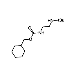 CC(C)(C)NCCNC(=O)OCC1CCCCC1